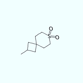 CC1CC2(CCS(=O)(=O)CC2)C1